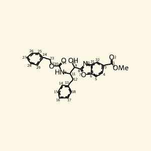 COC(=O)c1ccc2oc(C(O)C(Cc3ccccc3)NC(=O)OCc3ccccc3)nc2c1